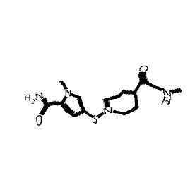 CNC(=O)C1CCN(Sc2cc(C(N)=O)n(C)c2)CC1